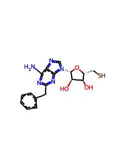 Nc1nc(Cc2ccccc2)nc2c1ncn2[C@@H]1O[C@H](CS)[C@@H](O)[C@H]1O